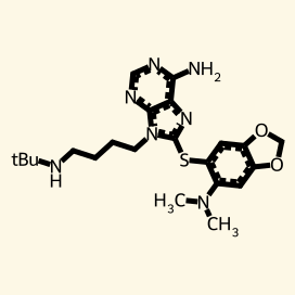 CN(C)c1cc2c(cc1Sc1nc3c(N)ncnc3n1CCCCNC(C)(C)C)OCO2